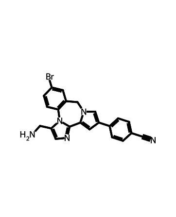 N#Cc1ccc(-c2cc3n(c2)Cc2cc(Br)ccc2-n2c(CN)cnc2-3)cc1